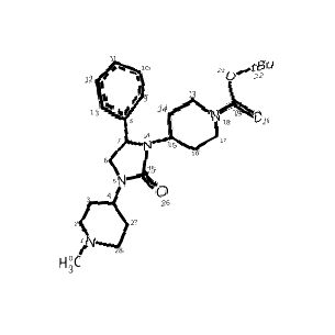 CN1CCC(N2CC(c3ccccc3)N(C3CCN(C(=O)OC(C)(C)C)CC3)C2=O)CC1